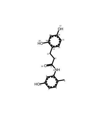 Cc1ccc(O)cc1NC(=O)CCc1ccc(O)cc1O